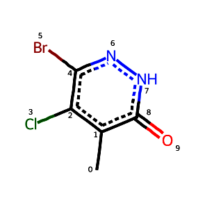 Cc1c(Cl)c(Br)n[nH]c1=O